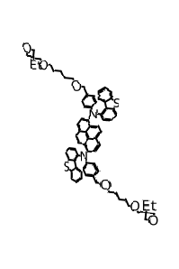 CCC1(COCCCCCOCc2ccc(N(c3ccc4ccc5c(N(c6ccc(COCCCCCOCC7(CC)COC7)cc6)c6cccc7sc8ccccc8c67)ccc6ccc3c4c65)c3cccc4sc5ccccc5c34)cc2)COC1